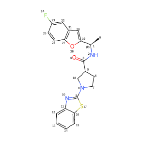 C[C@@H](NC(=O)C1CCN(c2nc3ccccc3s2)C1)c1cc2cc(F)ccc2o1